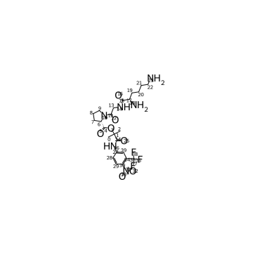 CC(C)(OC(=O)[C@@H]1CCCN1C(=O)CNC(=O)[C@@H](N)CCCCN)C(=O)Nc1ccc([N+](=O)[O-])c(C(F)(F)F)c1